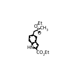 CCOC(=O)c1cc2cc(CP(C)(=O)OCC)ccc2[nH]1